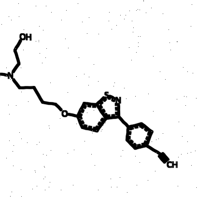 C#Cc1ccc(-c2nsc3cc(OCCCCN(CC)CCO)ccc23)cc1